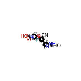 N#Cc1cc(-c2ccnc(NC=O)c2)ccc1OC1CCN(C(=O)CO)CC1F